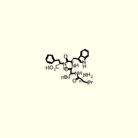 CCCC[C@H](NC(=O)[C@H](N)CC(C)C)C(=O)N[C@H](Cc1c[nH]c2ccccc12)C(=O)N[C@@H](Cc1ccccc1)C(=O)O